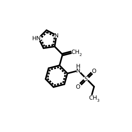 C=C(c1c[nH]cn1)c1ccccc1NS(=O)(=O)CC